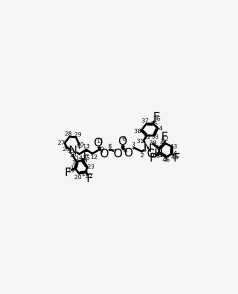 C[N+](CCOC(=O)OCOC(=O)CCC[N+]1(Cc2c(F)cc(F)cc2F)CCCCC1)(Cc1ccc(F)cc1)Cc1c(F)cc(F)cc1F